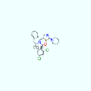 O=C(O)C(Cc1ccccc1)N(Cc1cnc(N2CCCCC2)s1)C(=O)c1ccc(Cl)cc1Cl